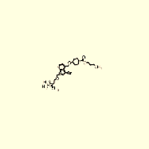 CCCCOC(=O)N1CCC(OCc2ccnc3c2c(Br)cn3COCC[Si](C)(C)C)CC1